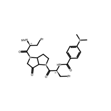 CN[C@@H](CC(C)C)C(=O)N1CC(=O)C2C1CCN2C(=O)[C@H](CC(C)C)NC(=O)c1ccc(N(C)C)cc1